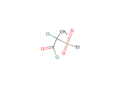 CCS(=O)(=O)C(C)(Cl)C(=O)Cl